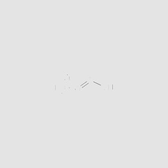 O.O=PO.[Zn]